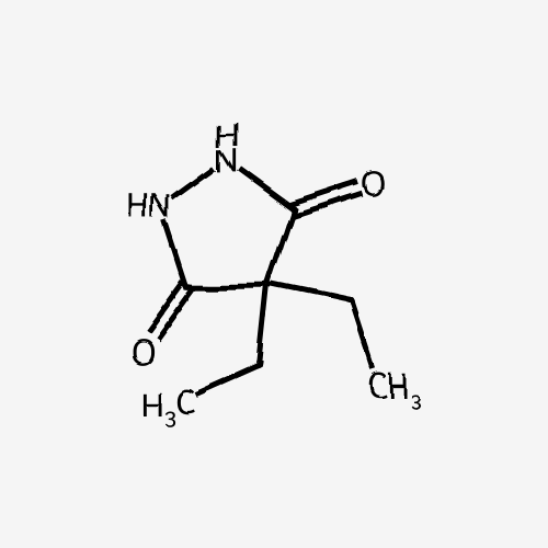 CCC1(CC)C(=O)NNC1=O